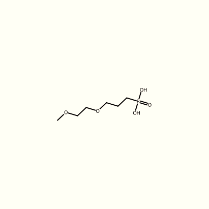 COCCOCCCP(=O)(O)O